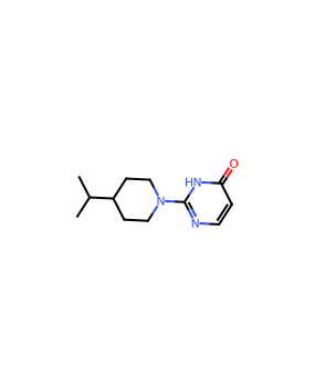 CC(C)C1CCN(c2nccc(=O)[nH]2)CC1